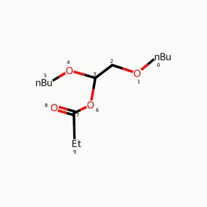 CCCCOCC(OCCCC)OC(=O)CC